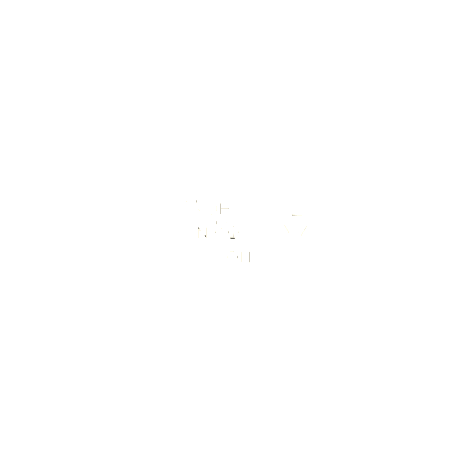 O=C(O)[C@@H]1CC(C2CCCCC2)CN1C(=O)CP(=O)(O)CCCCc1ccccc1